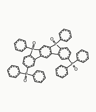 O=P(c1ccccc1)(c1ccccc1)c1ccc2c(c1)-c1cc3c(cc1P2(=O)c1ccccc1)P(=O)(c1ccccc1)c1ccc(P(=O)(c2ccccc2)c2ccccc2)cc1-3